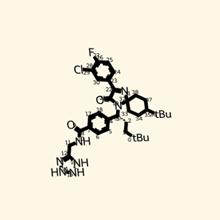 CC(C)(C)CC[C@H](c1ccc(C(=O)NCC2=NNNN2)cc1)N1C(=O)C(c2ccc(F)c(Cl)c2)=NC12CCC(C(C)(C)C)CC2